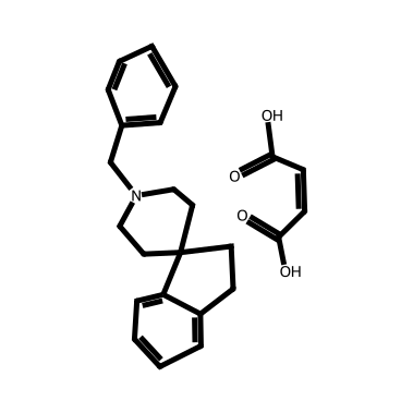 O=C(O)/C=C\C(=O)O.c1ccc(CN2CCC3(CCc4ccccc43)CC2)cc1